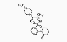 [CH2][C@H](NS(=O)(=O)c1ccccc1N1CCCCC1=O)C(=O)N1CCN(C)CC1